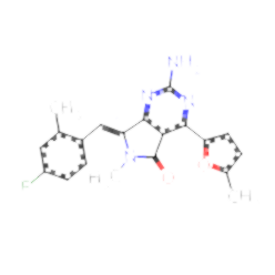 Cc1ccc(-c2nc(N)nc3c2C(=O)N(C)/C3=C\c2ccc(F)cc2C)o1